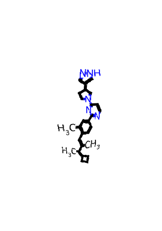 CC(=C1CCC1)/C(C)=C/c1ccc(-c2nccc(N3CCC(c4cn[nH]c4)C3)n2)cc1C